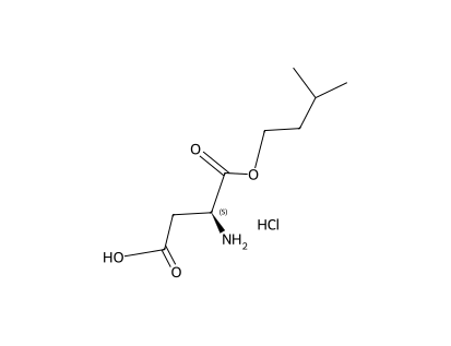 CC(C)CCOC(=O)[C@@H](N)CC(=O)O.Cl